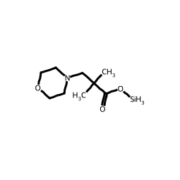 CC(C)(CN1CCOCC1)C(=O)O[SiH3]